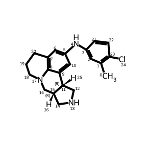 Cc1cc(Nc2cc3c4c(c2)[C@@H]2CNC[C@@H]2CN4CCC3)ccc1Cl